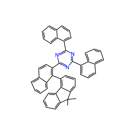 CC1(C)c2ccccc2-c2c(-c3c(-c4nc(-c5cccc6ccccc56)nc(-c5cccc6ccccc56)n4)ccc4ccccc34)cccc21